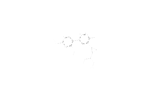 COc1ncc(-c2cc(C3CC3C(CO)CO)c(C)nn2)c(OC)n1